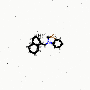 CC1Sc2ccccc2N1Cc1cccc2ccccc12